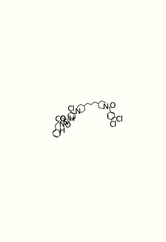 O=C(O)C(Cc1ccccc1)NS(=O)(=O)c1ccc(N2CCC(CCCC3CCN(C(=O)c4ccc(Cl)c(Cl)c4)CC3)CC2)c(Cl)c1